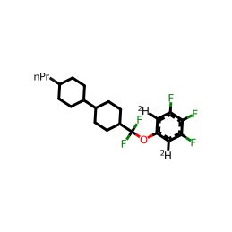 [2H]c1c(F)c(F)c(F)c([2H])c1OC(F)(F)C1CCC(C2CCC(CCC)CC2)CC1